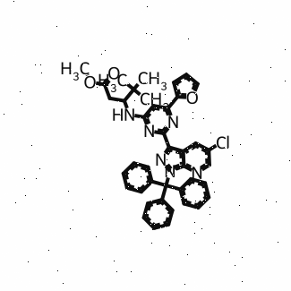 COC(=O)CC(Nc1cc(-c2ccco2)nc(-c2nn(C(c3ccccc3)(c3ccccc3)c3ccccc3)c3ncc(Cl)cc23)n1)C(C)(C)C